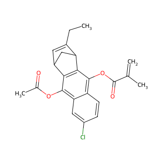 C=C(C)C(=O)Oc1c2c(c(OC(C)=O)c3cc(Cl)ccc13)C1C=C(CC)C2C1